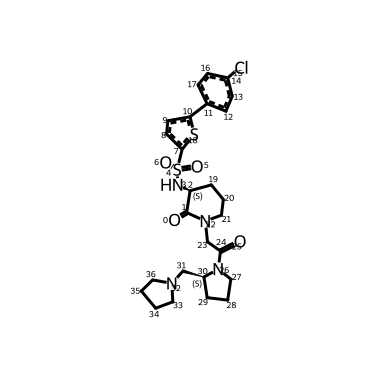 O=C1[C@@H](NS(=O)(=O)c2ccc(-c3ccc(Cl)cc3)s2)CCCN1CC(=O)N1CCC[C@H]1CN1CCCC1